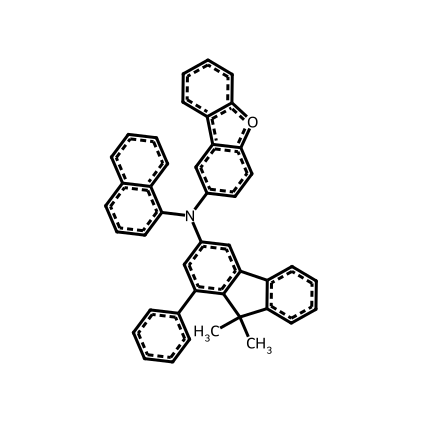 CC1(C)c2ccccc2-c2cc(N(c3ccc4oc5ccccc5c4c3)c3cccc4ccccc34)cc(-c3ccccc3)c21